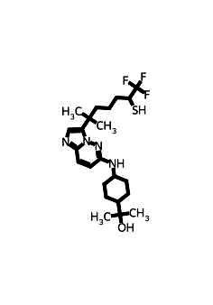 CC(C)(CCCC(S)C(F)(F)F)c1cnc2ccc(NC3CCC(C(C)(C)O)CC3)nn12